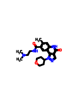 Cc1cc2[nH]c(=O)c3cnn(C4CCOCC4)c3c2cc1C(=O)NCCN(C)C